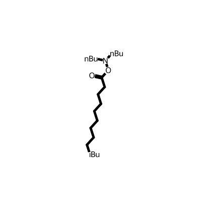 CCCCN(CCCC)OC(=O)CCCCCCCCC(C)CC